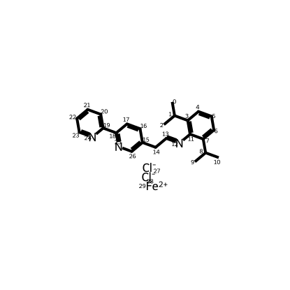 CC(C)c1cccc(C(C)C)c1N=CCc1ccc(-c2ccccn2)nc1.[Cl-].[Cl-].[Fe+2]